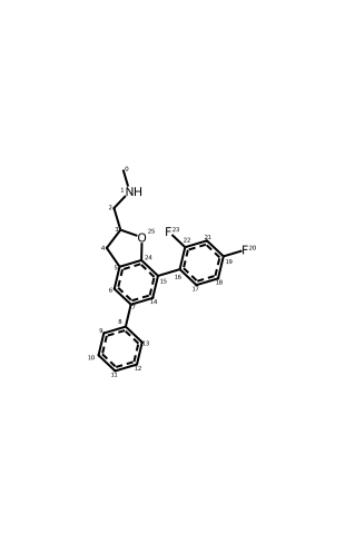 CNCC1Cc2cc(-c3ccccc3)cc(-c3ccc(F)cc3F)c2O1